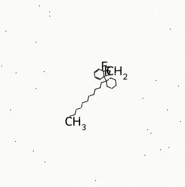 C=CC1(C2(CCCCCCCCCCCC)CCCCC2)C=CC=CC1(F)F